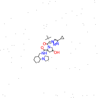 CC(C)(C)[C@@H](C(=O)N1C[C@H](O)C[C@H]1C(=O)NCC1CCCCC1N1CCCC1)n1cc(C2CC2)nn1